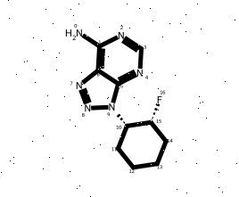 Nc1ncnc2c1nnn2[C@H]1CCCC[C@H]1F